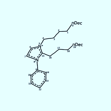 CCCCCCCCCCCCCC[n+]1ccn(-c2ccccc2)c1CCCCCCCCCCCCC